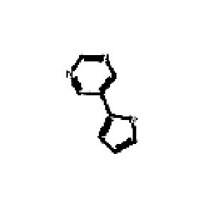 C1=C[N]C(c2cncnc2)=C1